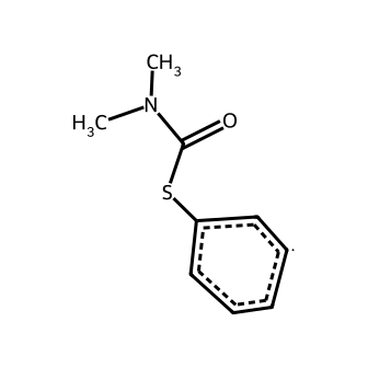 CN(C)C(=O)Sc1c[c]ccc1